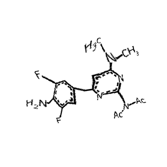 CC(=O)N(C(C)=O)c1nc(-c2cc(F)c(N)c(F)c2)cc(N(C)C)n1